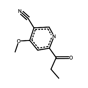 CCC(=O)c1cc(OC)c(C#N)cn1